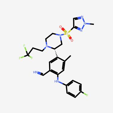 Cc1cc(Nc2ccc(F)cc2)c(C=N)cc1[C@H]1CN(S(=O)(=O)c2cnn(C)n2)CCN1CCC(F)(F)F